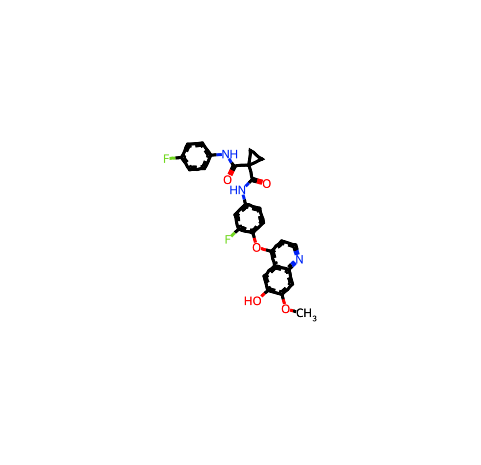 COc1cc2nccc(Oc3ccc(NC(=O)C4(C(=O)Nc5ccc(F)cc5)CC4)cc3F)c2cc1O